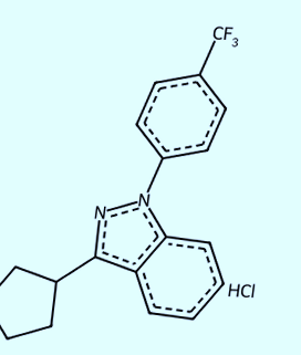 Cl.FC(F)(F)c1ccc(-n2nc(C3CCNC3)c3ccccc32)cc1